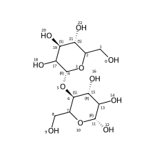 OCC1O[C@H](O[C@@H]2C(CO)O[C@@H](O)C(O)[C@H]2O)C(O)[C@@H](O)[C@@H]1O